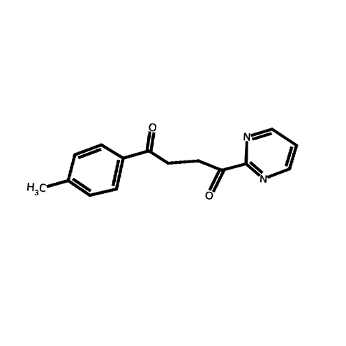 Cc1ccc(C(=O)CCC(=O)c2ncccn2)cc1